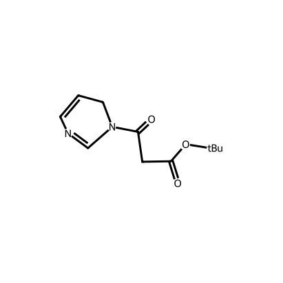 CC(C)(C)OC(=O)CC(=O)N1C=NC=CC1